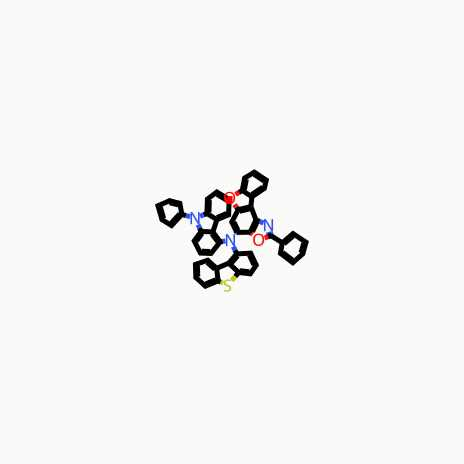 c1ccc(-c2nc3c(o2)c(N(c2cccc4sc5ccccc5c24)c2cccc4c2c2ccccc2n4-c2ccccc2)cc2oc4ccccc4c23)cc1